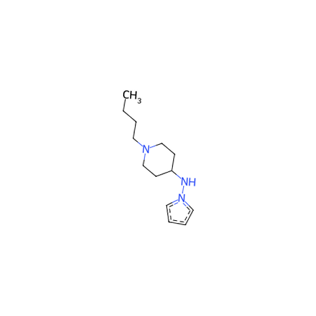 CCCCN1CCC(Nn2cccc2)CC1